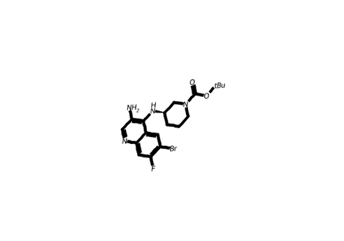 CC(C)(C)OC(=O)N1CCC[C@@H](Nc2c(N)cnc3cc(F)c(Br)cc23)C1